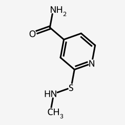 CNSc1cc(C(N)=O)ccn1